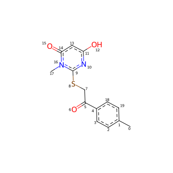 Cc1ccc(C(=O)CSc2nc(O)cc(=O)n2C)cc1